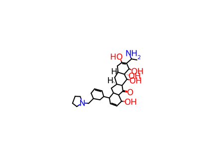 CC(N)C1=C(O)C[C@@H]2C[C@@H]3CC4C(C5C=CCC(CN6CCCC6)C5)C=CC(O)C4C(=O)C3C(O)[C@]2(O)C1O